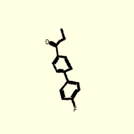 CCC(=O)c1ccc(-c2ccc(F)cc2)cc1